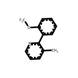 Cc1cccnc1-c1ccccc1OC(F)(F)F